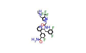 CCNCc1cn(CC(=O)N[C@@H](Cc2cc(F)cc(F)c2)c2ncccc2C2=CC(C(N)=O)C(F)C=C2)nc1C(F)(F)F